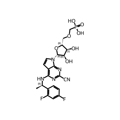 C[C@@H](Nc1nc(C#N)nc2c1ccn2[C@@H]1O[C@H](COCP(=O)(O)O)[C@@H](O)[C@H]1O)c1ccc(F)cc1F